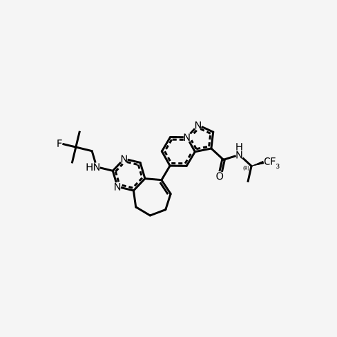 C[C@@H](NC(=O)c1cnn2ccc(C3=CCCCc4nc(NCC(C)(C)F)ncc43)cc12)C(F)(F)F